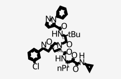 CCC[C@H](NC(=O)[C@@H]1C[C@]2(CC(c3cccc(Cl)c3)=NO2)CN1C(=O)[C@@H](NC(=O)c1ccnn1-c1ccccc1)C(C)(C)C)C(=O)C(=O)NC1CC1